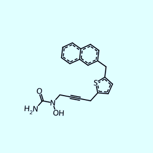 NC(=O)N(O)CC#CCc1ccc(Cc2ccc3ccccc3c2)s1